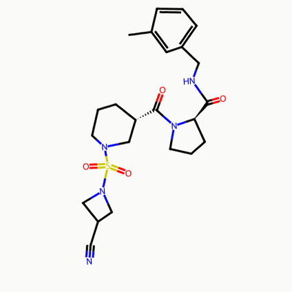 Cc1cccc(CNC(=O)[C@H]2CCCN2C(=O)[C@H]2CCCN(S(=O)(=O)N3CC(C#N)C3)C2)c1